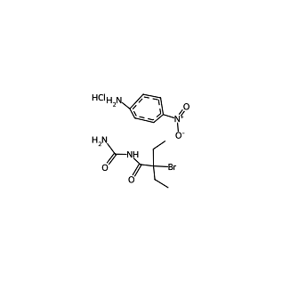 CCC(Br)(CC)C(=O)NC(N)=O.Cl.Nc1ccc([N+](=O)[O-])cc1